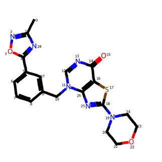 Cc1noc(-c2cccc(Cn3cnc(=O)c4sc(N5CCOCC5)nc43)c2)n1